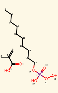 C=C(C)C(=O)O.CCCCCCCCCCOP(=O)(O)OO